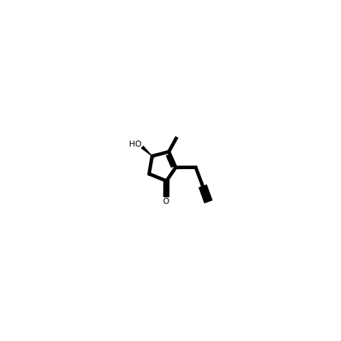 C#CCC1=C(C)[C@H](O)CC1=O